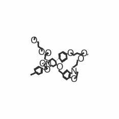 COCCCOC(=O)C[C@H]1C[C@H](c2ccc(OCCCOC)cc2)[C@@H](OCc2ccc3c(c2)N(CCCOC)CCO3)CN1S(=O)(=O)c1ccc(C)cc1